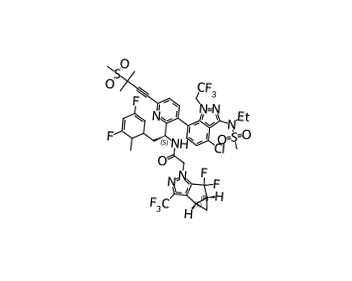 CCN(c1nn(CC(F)(F)F)c2c(-c3ccc(C#CC(C)(C)S(C)(=O)=O)nc3[C@H](CC3C=C(F)C=C(F)C3C)NC(=O)Cn3nc(C(F)(F)F)c4c3C(F)(F)[C@@H]3C[C@H]43)ccc(Cl)c12)S(C)(=O)=O